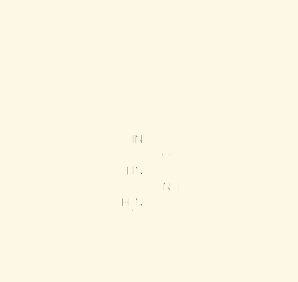 N=C(N)NC(=O)NC1CCc2ccccc21